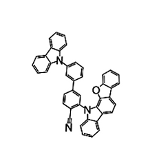 N#Cc1ccc(-c2cccc(-n3c4ccccc4c4ccccc43)c2)cc1-n1c2ccccc2c2ccc3c4ccccc4oc3c21